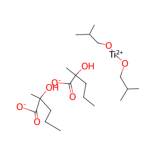 CC(C)C[O][Ti+2][O]CC(C)C.CCCC(C)(O)C(=O)[O-].CCCC(C)(O)C(=O)[O-]